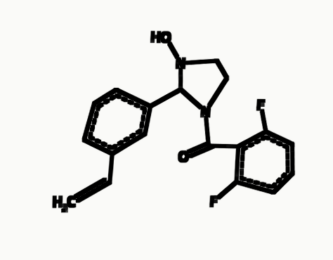 C=Cc1cccc(C2N(O)CCN2C(=O)c2c(F)cccc2F)c1